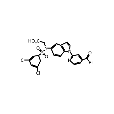 CCC(=O)c1ccnc(-n2ccc3cc(N(CC(=O)O)S(=O)(=O)C4C=C(Cl)C=C(Cl)C4)ccc32)c1